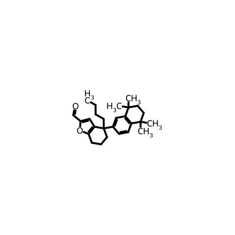 CCCCC1(c2ccc3c(c2)C(C)(C)CCC3(C)C)CCCc2oc(C=O)cc21